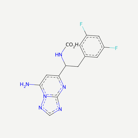 Nc1cc(C(Cc2cc(F)cc(F)c2)NC(=O)O)nc2ncnn12